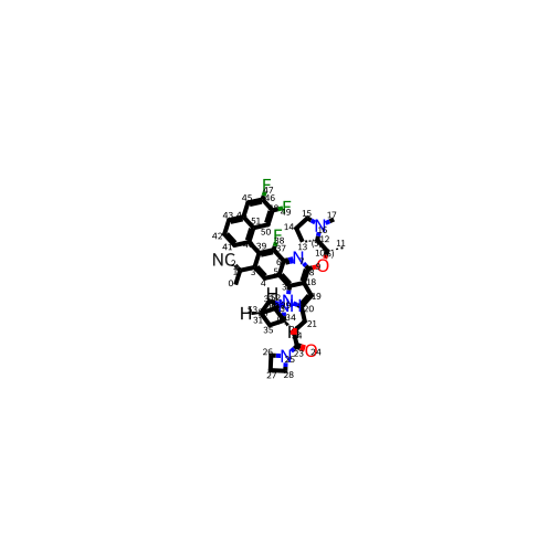 CC(C#N)c1cc2c(nc(O[C@@H](C)[C@@H]3CCCN3C)c3cc(CCC(=O)N4CCC4)n([C@H]4[C@H]5CN[C@@H]4C5)c32)c(F)c1-c1cccc2cc(F)c(F)cc12